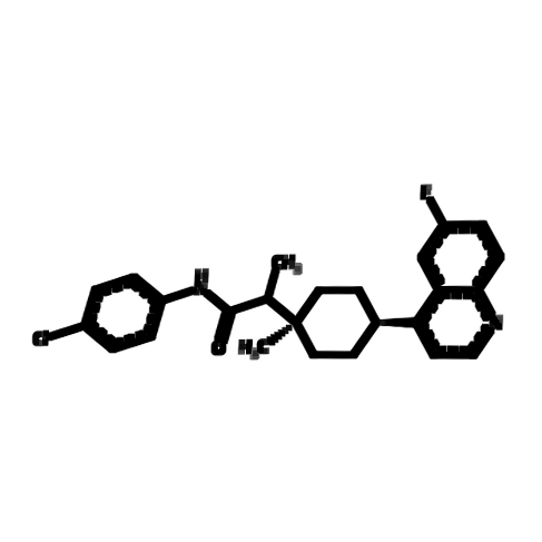 CC(C(=O)Nc1ccc(Cl)cc1)[C@]1(C)CC[C@H](c2ccnc3ccc(F)cc32)CC1